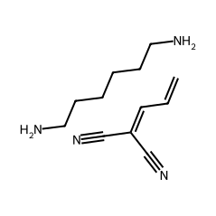 C=CC=C(C#N)C#N.NCCCCCCN